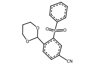 N#Cc1ccc(C2OCCCO2)c(S(=O)(=O)c2ccccc2)c1